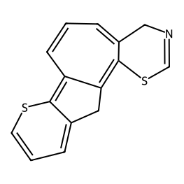 C1=CSC2=C3C=CC=C4CN=CSC4=C3CC2=C1